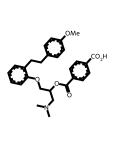 COc1ccc(CCc2ccccc2OCC(CN(C)C)OC(=O)c2ccc(C(=O)O)cc2)cc1